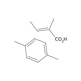 CC=C(C)C(=O)O.Cc1ccc(C)cc1